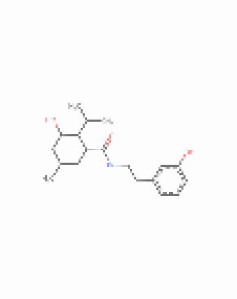 CC1CC(O)C(C(C)C)C(C(=O)NCCc2cccc(O)c2)C1